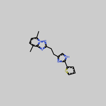 Cc1ccc(C)n2nc(CCc3c[nH]c(-c4cccs4)n3)nc12